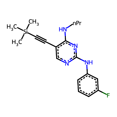 CCCNc1nc(Nc2cccc(F)c2)ncc1C#C[Si](C)(C)C